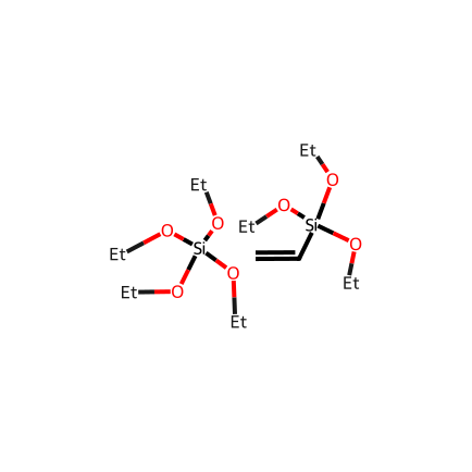 C=C[Si](OCC)(OCC)OCC.CCO[Si](OCC)(OCC)OCC